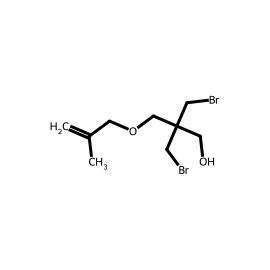 C=C(C)COCC(CO)(CBr)CBr